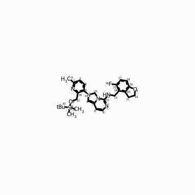 Cc1ccc(N2C=C3C=CN=C(NCc4c(F)ccc5c4CCO5)N3C2)c(CO[Si](C)(C)C(C)(C)C)n1